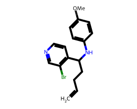 C=CCCC(Nc1ccc(OC)cc1)c1ccncc1Br